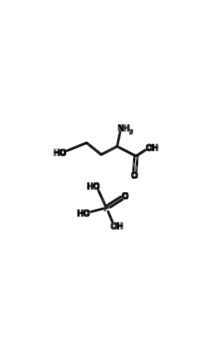 NC(CCO)C(=O)O.O=P(O)(O)O